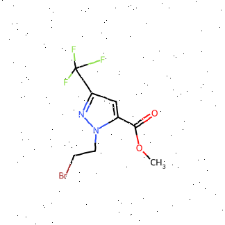 COC(=O)c1cc(C(F)(F)F)nn1CCBr